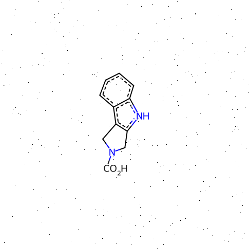 O=C(O)N1Cc2[nH]c3ccccc3c2C1